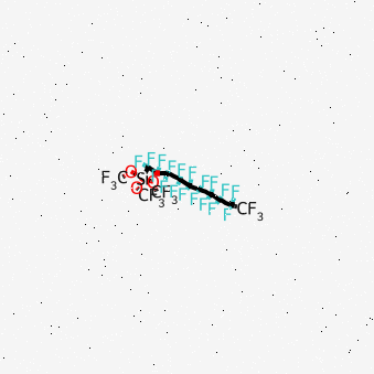 FC(F)(F)O[Si](OC(F)(F)F)(OC(F)(F)F)C(F)(F)C(F)(F)C(F)(F)C(F)(F)C(F)(F)C(F)(F)C(F)(F)C(F)(F)C(F)(F)C(F)(F)F